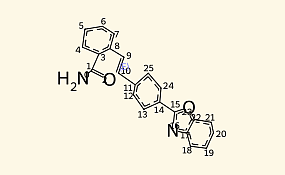 NC(=O)c1ccccc1/C=C/c1ccc(-c2nc3ccccc3o2)cc1